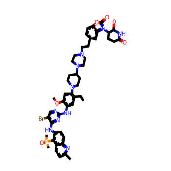 CCc1cc(Nc2ncc(Br)c(Nc3ccc4nc(C)ccc4c3P(C)(C)=O)n2)c(OC)cc1N1CCC(N2CCN(CCc3ccc4oc(=O)n(C5CCC(=O)NC5=O)c4c3)CC2)CC1